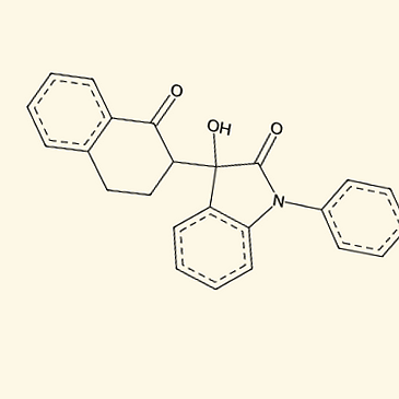 O=C1c2ccccc2CCC1C1(O)C(=O)N(c2ccccc2)c2ccccc21